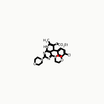 CCOC(=O)OC1=C(C)Nc2nc(N3CCOCC3)nc(N3CCOCC3)c2C1c1ccc(Cl)cc1